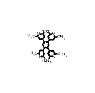 Cc1cc(-c2cc(-c3cc(C)nc(C)c3)c(-c3cc(C)nc(C)c3)cc2-c2cc(C)nc(C)c2)cc(C)n1